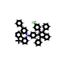 CC1(C)c2ccccc2-c2c(N(c3ccc(-c4ccccc4)cc3)c3ccc(-c4c(-c5ccc(Cl)cc5)c(-c5ccccc5)c5ccccc5c4-c4ccccc4)cc3)cccc21